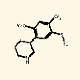 CCSc1cc(C2CCCNC2)c(OC)cc1C(F)(F)F